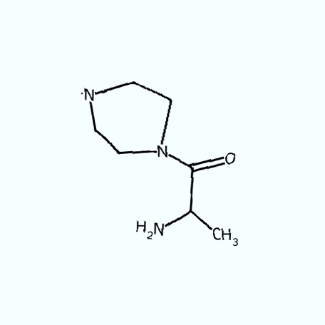 CC(N)C(=O)N1CC[N]CC1